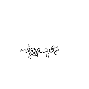 CN1C[C@H](NC(=O)CCCC(=O)NC[C@H](O)[C@@H](O)[C@H](O)[C@H](O)CO)C[C@H]1C(=O)I